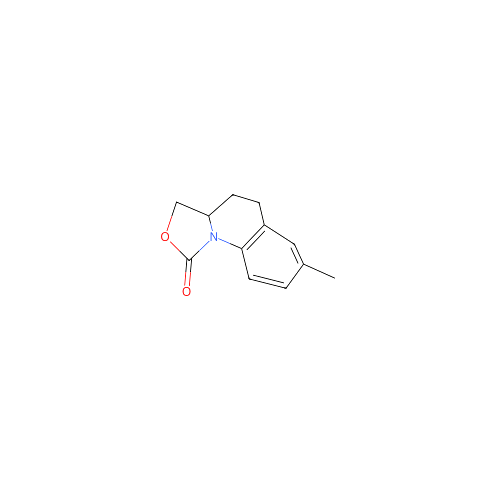 Cc1ccc2c(c1)CCC1COC(=O)N21